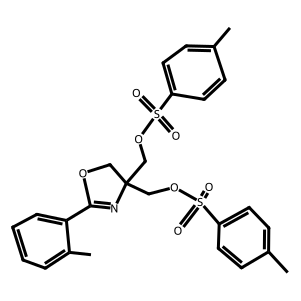 Cc1ccc(S(=O)(=O)OCC2(COS(=O)(=O)c3ccc(C)cc3)COC(c3ccccc3C)=N2)cc1